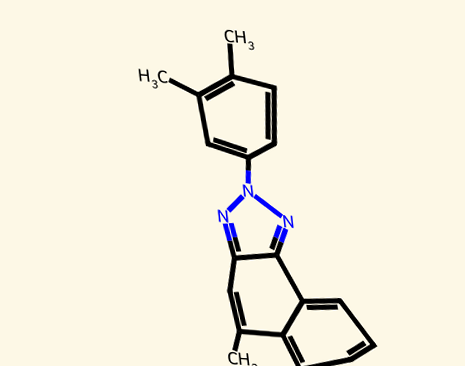 Cc1ccc(-n2nc3cc(C)c4ccccc4c3n2)cc1C